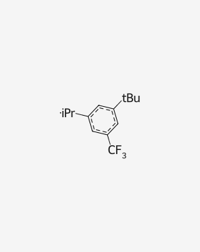 C[C](C)c1cc(C(C)(C)C)cc(C(F)(F)F)c1